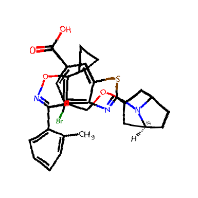 Cc1ccccc1-c1noc(C2CC2)c1COC1CC2CC[C@@H](C1)N2c1nc2c(Br)cc(C(=O)O)cc2s1